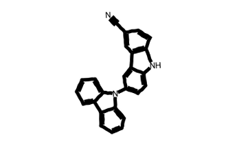 N#Cc1ccc2[nH]c3ccc(-n4c5ccccc5c5ccccc54)cc3c2c1